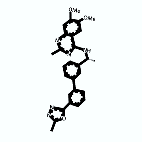 COc1cc2nc(C)nc(N[C@H](C)c3cccc(-c4cccc(-c5nnc(C)o5)c4)c3)c2cc1OC